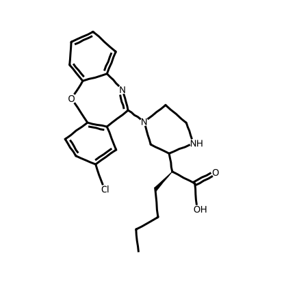 CCCC[C@H](C(=O)O)C1CN(C2=Nc3ccccc3Oc3ccc(Cl)cc32)CCN1